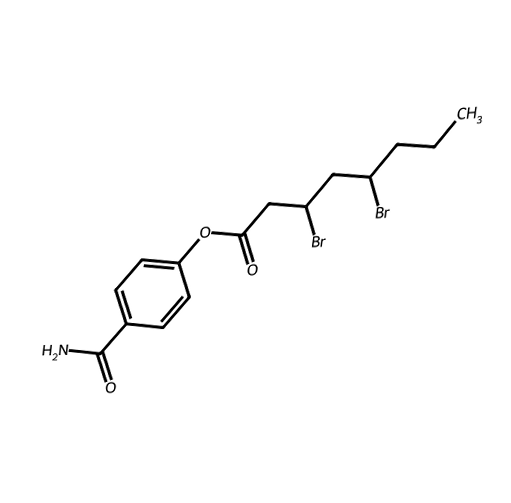 CCCC(Br)CC(Br)CC(=O)Oc1ccc(C(N)=O)cc1